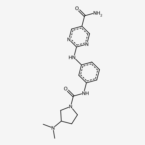 CN(C)C1CCN(C(=O)Nc2cccc(Nc3ncc(C(N)=O)cn3)c2)C1